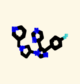 Fc1ccc(-c2ncn(C3CCN(Cc4cccnc4)C3)c2-c2ccncn2)cc1